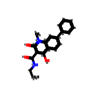 Cn1c(=O)c(C(=O)NCC(=O)O)c(O)c2ccc(-c3ccccc3)cc21